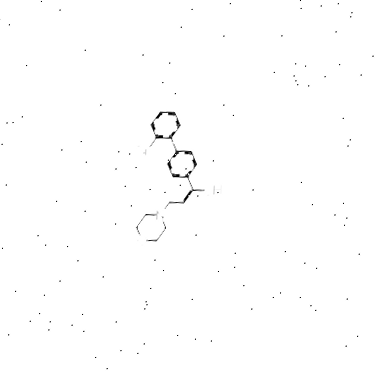 CC(=CCN1CCOCC1)c1ccc(-c2ccccc2Br)cc1